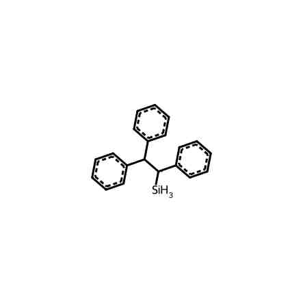 [SiH3][C](c1ccccc1)C(c1ccccc1)c1ccccc1